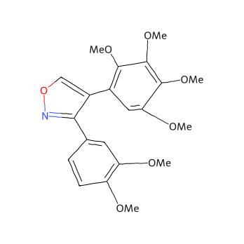 COc1ccc(-c2nocc2-c2cc(OC)c(OC)c(OC)c2OC)cc1OC